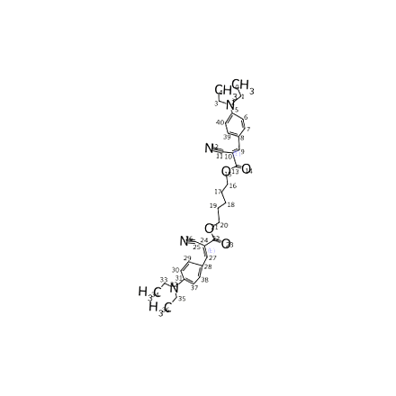 CCN(CC)c1ccc(/C=C(\C#N)C(=O)OCCCCCOC(=O)/C(C#N)=C/c2ccc(N(CC)CC)cc2)cc1